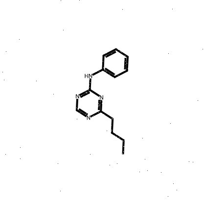 CCCCc1ncnc(Nc2ccccc2)n1